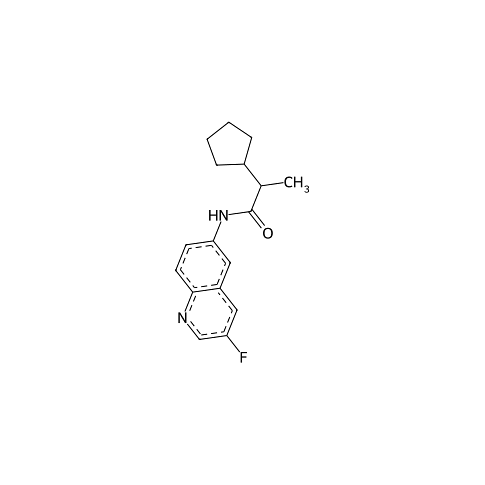 CC(C(=O)Nc1ccc2ncc(F)cc2c1)C1CCCC1